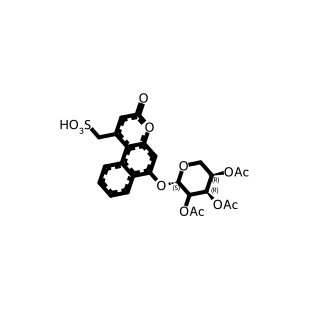 CC(=O)OC1[C@H](Oc2cc3oc(=O)cc(CS(=O)(=O)O)c3c3ccccc23)OC[C@@H](OC(C)=O)[C@H]1OC(C)=O